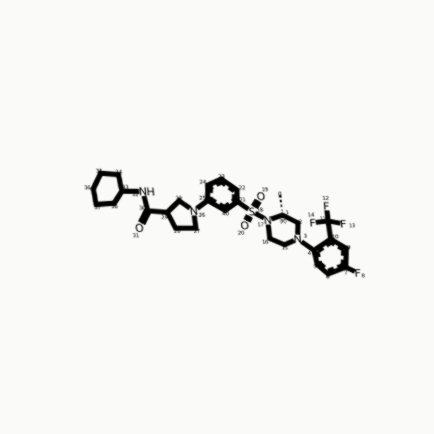 C[C@@H]1CN(c2ccc(F)cc2C(F)(F)F)CCN1S(=O)(=O)c1cccc(N2CCC(C(=O)NC3CCCCC3)C2)c1